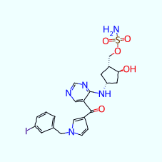 NS(=O)(=O)OC[C@H]1C[C@@H](Nc2ncncc2C(=O)c2ccn(Cc3cccc(I)c3)c2)C[C@@H]1O